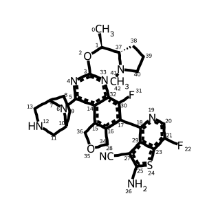 C[C@H](Oc1nc(N2C3CCC2CNC3)c2c3c(c(-c4ncc(F)c5sc(N)c(C#N)c45)c(F)c2n1)COC3)[C@@H]1CCCN1C